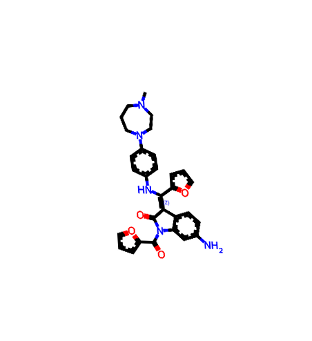 CN1CCCN(c2ccc(N/C(=C3\C(=O)N(C(=O)c4ccco4)c4cc(N)ccc43)c3ccco3)cc2)CC1